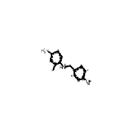 Cc1cc(N)ccc1NCc1ccc(O)cc1